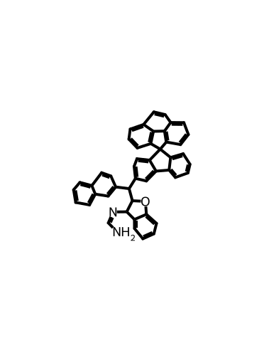 N/C=N\C1c2ccccc2OC1C(c1ccc2c(c1)-c1ccccc1C21c2cccc3ccc4cccc1c4c23)c1ccc2ccccc2c1